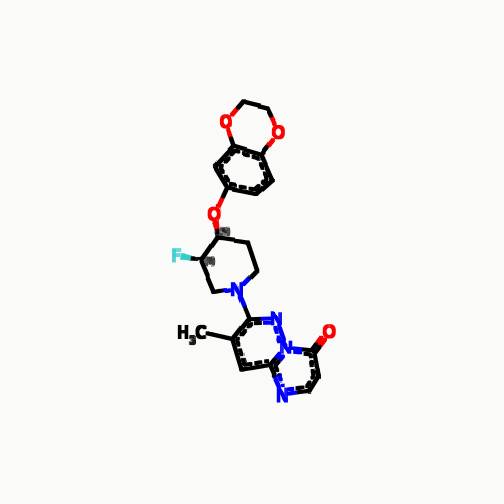 Cc1cc2nccc(=O)n2nc1N1CC[C@H](Oc2ccc3c(c2)OCCO3)[C@H](F)C1